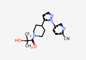 CC(O)(C(=O)N1CCC(c2ccnn2-c2ccc(C#N)nc2)CC1)C(F)(F)F